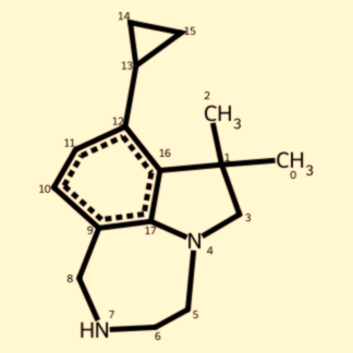 CC1(C)CN2CCNCc3ccc(C4CC4)c1c32